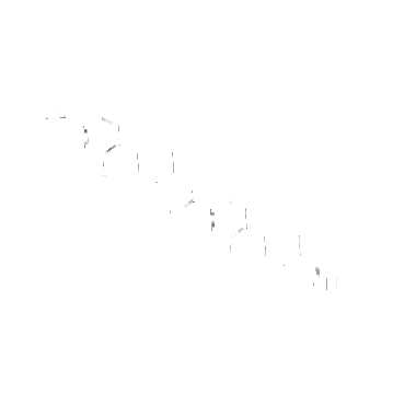 C=CC1CCC(c2ccc(C(=O)OC3CCC(c4ccc(C5CO5)c(F)c4F)CC3)c(F)c2F)CC1